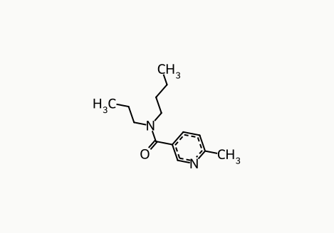 CCCCN(CCC)C(=O)c1ccc(C)nc1